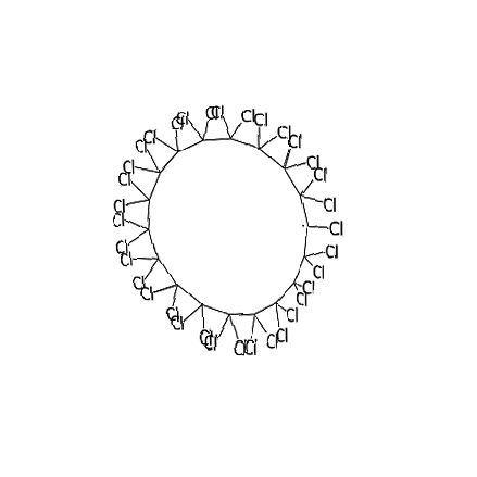 Cl[C]1C(Cl)(Cl)C(Cl)(Cl)C(Cl)(Cl)C(Cl)(Cl)C(Cl)(Cl)C(Cl)(Cl)C(Cl)(Cl)C(Cl)(Cl)C(Cl)(Cl)C(Cl)(Cl)C(Cl)(Cl)C(Cl)(Cl)C(Cl)(Cl)C(Cl)(Cl)C(Cl)(Cl)C(Cl)(Cl)C1(Cl)Cl